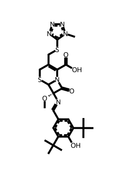 CO[C@@]1(N=Cc2cc(C(C)(C)C)c(O)c(C(C)(C)C)c2)C(=O)N2C(C(=O)O)=C(CSc3nnnn3C)CSC21